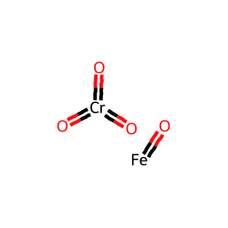 [O]=[Cr](=[O])=[O].[O]=[Fe]